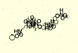 CC(C)[C@H](NC(=O)C(N)CCCCNC(=O)COC1C#CCCCCC1)C(=O)N[C@@H](C)C(=O)Nc1ccc2c(c1)[C@@]1(C)CCC[C@](C)(C(=O)NC(=O)[C@@]3(C)CCC[C@]4(C)c5cc(NC(=O)OC(C)(C)C)ccc5CC[C@@H]34)[C@@H]1CC2